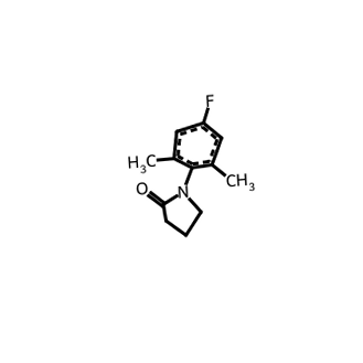 Cc1cc(F)cc(C)c1N1CCCC1=O